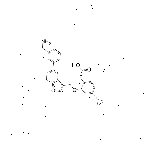 NCc1cccc(-c2ccc3occ(COc4cc(C5CC5)ccc4CC(=O)O)c3c2)c1